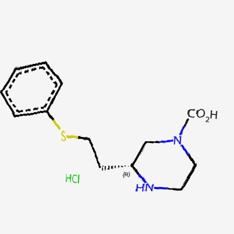 Cl.O=C(O)N1CCN[C@H](CCSc2ccccc2)C1